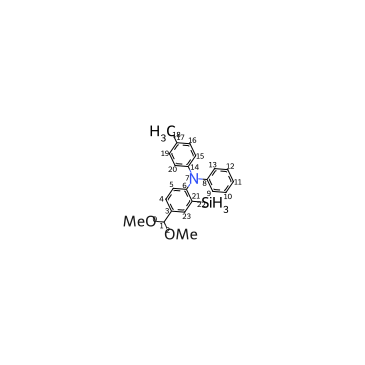 COC(OC)c1ccc(N(c2ccccc2)c2ccc(C)cc2)c([SiH3])c1